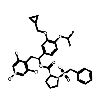 O=C(O[C@@H](Cc1c(Cl)c[n+]([O-])cc1Cl)c1ccc(OC(F)F)c(OCC2CC2)c1)[C@@H]1CCCN1S(=O)(=O)Cc1ccccc1